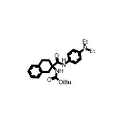 CCN(CC)c1ccc(NC(=O)C2(NC(=O)OCC(C)C)CCc3ccccc3C2)cc1